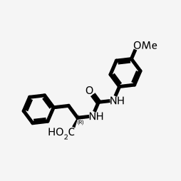 COc1ccc(NC(=O)N[C@H](Cc2ccccc2)C(=O)O)cc1